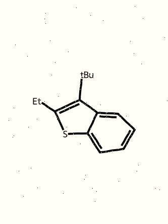 CCc1sc2ccccc2c1C(C)(C)C